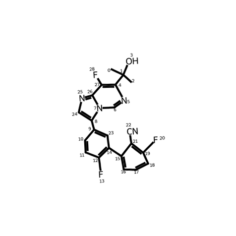 CC(C)(O)c1ncn2c(-c3ccc(F)c(-c4cccc(F)c4C#N)c3)cnc2c1F